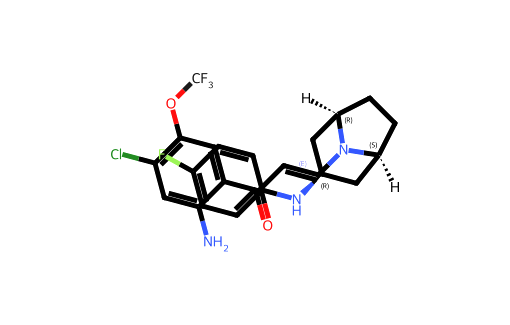 Nc1cc(Cl)c(OC(F)(F)F)cc1C(=O)/C=C/N1[C@@H]2CC[C@H]1C[C@@H](Nc1ccc(F)cc1)C2